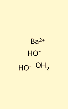 O.[Ba+2].[OH-].[OH-]